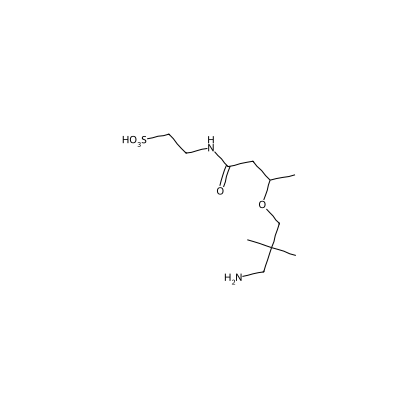 CC(CC(=O)NCCS(=O)(=O)O)OCC(C)(C)CN